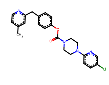 Cc1ccnc(Cc2ccc(OC(=O)N3CCN(c4ccc(Cl)cn4)CC3)cc2)c1